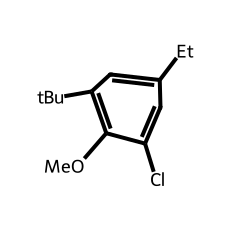 CCc1cc(Cl)c(OC)c(C(C)(C)C)c1